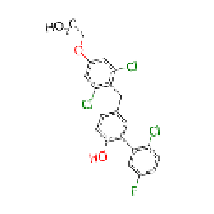 O=C(O)COc1cc(Cl)c(Cc2ccc(O)c(-c3cc(F)ccc3Cl)c2)c(Cl)c1